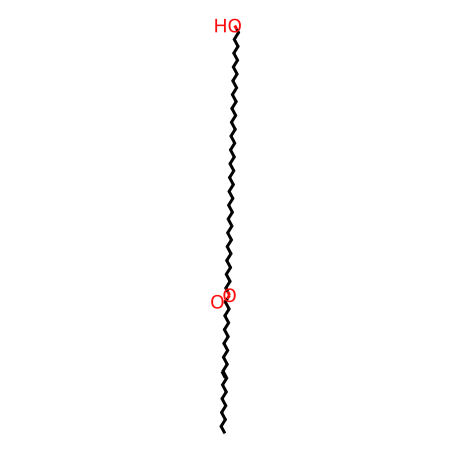 CCCCCCCCC=CCCCCCCCCCC(=O)OCCCCCCCCCCCCCCCCCCCCCCCCCCCCCCCCCCCCCCO